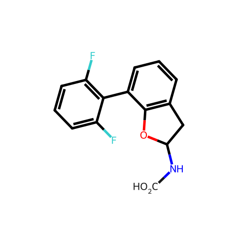 O=C(O)NC1Cc2cccc(-c3c(F)cccc3F)c2O1